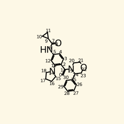 C=C(c1ccc(NC(=O)C2CC2)cc1N1CCCC1)N1CCOCC1c1ccccc1